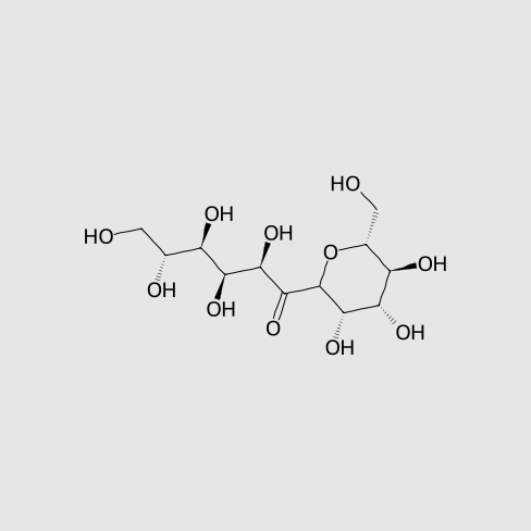 O=C(C1O[C@H](CO)[C@@H](O)[C@H](O)[C@@H]1O)[C@H](O)[C@@H](O)[C@H](O)[C@H](O)CO